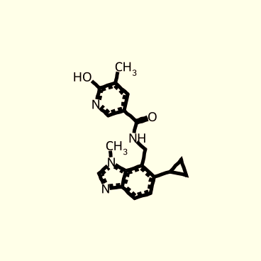 Cc1cc(C(=O)NCc2c(C3CC3)ccc3ncn(C)c23)cnc1O